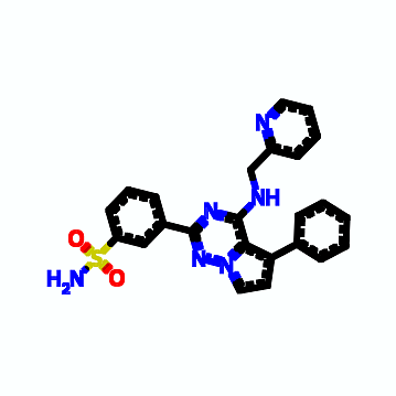 NS(=O)(=O)c1cccc(-c2nc(NCc3ccccn3)c3c(-c4ccccc4)ccn3n2)c1